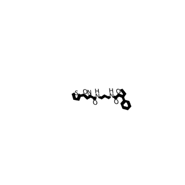 O=C(NCCCNC(=O)c1occc1-c1ccccc1)c1cc(-c2cccs2)on1